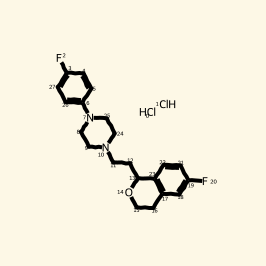 Cl.Cl.Fc1ccc(N2CCN(CCC3OCCc4cc(F)ccc43)CC2)cc1